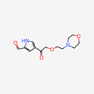 O=Cc1cc(C(=O)COCCN2CCOCC2)c[nH]1